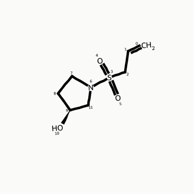 C=CCS(=O)(=O)N1CC[C@H](O)C1